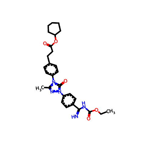 CCOC(=O)NC(=N)c1ccc(-n2nc(C)n(-c3ccc(CCC(=O)OC4CCCCC4)cc3)c2=O)cc1